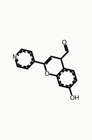 O=CC1C=C(c2ccncc2)Oc2cc(O)ccc21